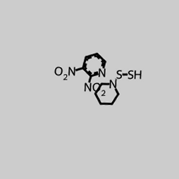 O=[N+]([O-])c1cccnc1[N+](=O)[O-].SSN1CCCCC1